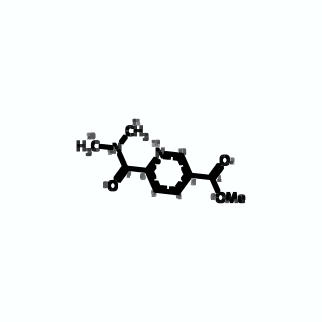 COC(=O)c1ccc(C(=O)N(C)C)nc1